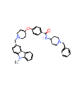 CCn1c2ccccc2c2cc(CN3CCC(Oc4ccc(C(=O)NC5CCN(Cc6ccccc6)CC5)cc4)CC3)ccc21